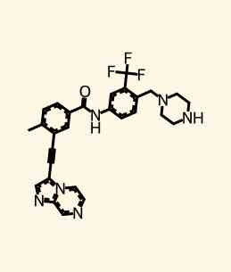 Cc1ccc(C(=O)Nc2ccc(CN3CCNCC3)c(C(F)(F)F)c2)cc1C#Cc1cnc2cnccn12